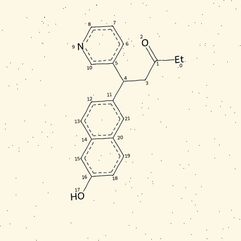 CCC(=O)CC(c1cccnc1)c1ccc2cc(O)ccc2c1